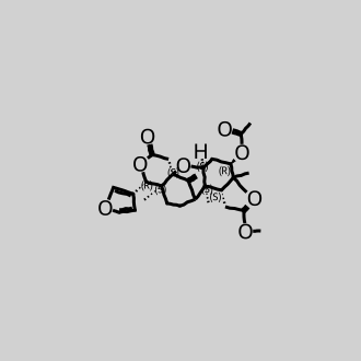 C=C1C2CC[C@@]3(C)[C@H](c4ccoc4)OC(=O)C[C@]13O[C@H]1C[C@@H](OC(C)=O)C(C)(C)[C@H](CC(=O)OC)[C@@]21C